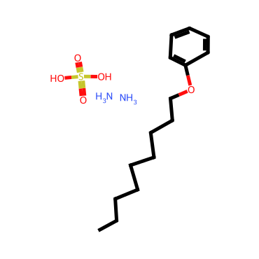 CCCCCCCCCOc1ccccc1.N.N.O=S(=O)(O)O